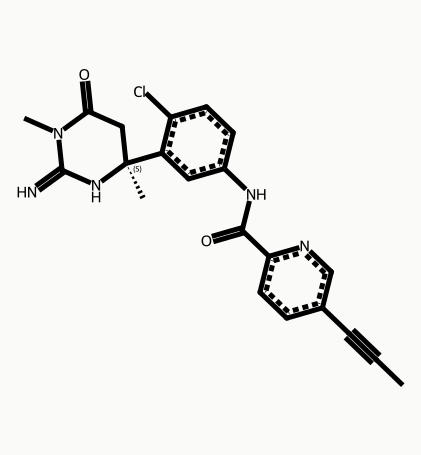 CC#Cc1ccc(C(=O)Nc2ccc(Cl)c([C@]3(C)CC(=O)N(C)C(=N)N3)c2)nc1